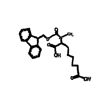 CN(C(=O)OCC1c2ccccc2-c2ccccc21)C(CCCCCC(=O)O)C(=O)O